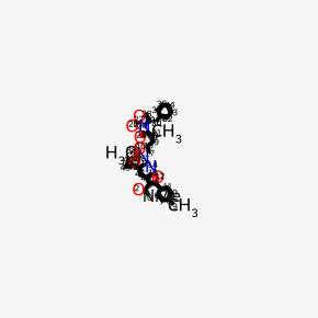 CNC(=O)c1c(-c2ccc(C)cc2)oc2nc(N(CCC[C@H](C)C(=O)N3C(=O)OC[C@@H]3Cc3ccccc3)S(C)(=O)=O)c(C3CC3)cc12